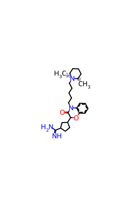 C[C@@H]1CCC[C@H](C)N1CCCCCN1C(=O)C(C2CCC(C(=N)N)C2)Oc2ccccc21